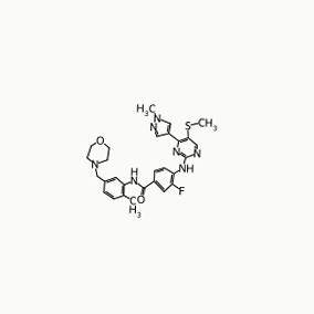 CSc1cnc(Nc2ccc(C(=O)Nc3cc(CN4CCOCC4)ccc3C)cc2F)nc1-c1cnn(C)c1